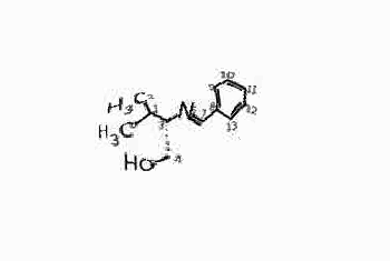 CC(C)[C@@H](CO)/N=C/c1ccccc1